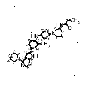 C=CC(=O)N[C@@H]1CCCN(c2ncc(Nc3ccc(-c4cc5c(N6CCOCC6)ncnc5[nH]4)cc3C)cn2)C1